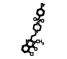 Cn1c(CCN2CCN(S(=O)(=O)c3ccc(Br)cc3)CC2)nc2cccc(Cl)c2c1=O